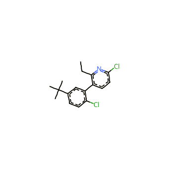 CCc1nc(Cl)ccc1-c1cc(C(C)(C)C)ccc1Cl